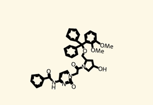 COc1cccc(C(OCC2CC(O)CN2C(=O)Cn2ccc(NC(=O)c3ccccc3)nc2=O)(c2ccccc2)c2ccccc2)c1OC